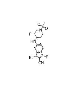 CCc1c(C#N)c(F)c2cnc(N[C@@H]3CCN(S(C)(=O)=O)C[C@H]3F)nn12